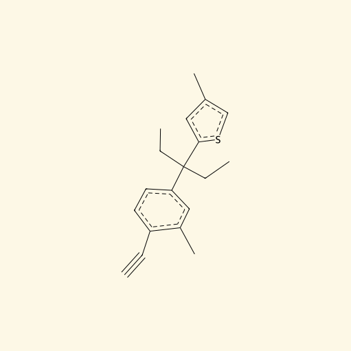 C#Cc1ccc(C(CC)(CC)c2cc(C)cs2)cc1C